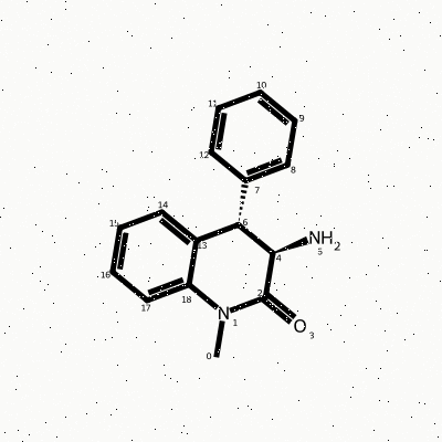 CN1C(=O)[C@H](N)[C@@H](c2ccccc2)c2ccccc21